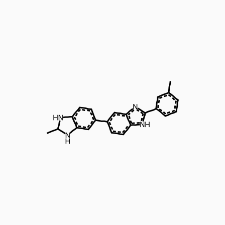 Cc1cccc(-c2nc3cc(-c4ccc5c(c4)NC(C)N5)ccc3[nH]2)c1